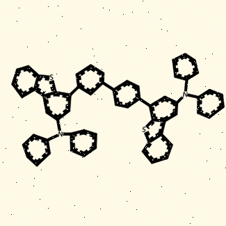 c1ccc(N(c2ccccc2)c2cc(-c3ccc(-c4cccc(-c5cc(N(c6ccccc6)c6ccccc6)cc6c5sc5ccccc56)c4)cc3)c3sc4ccccc4c3c2)cc1